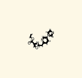 CCOC(=O)c1coc(Cc2ccc(-n3ccnc3)cn2)n1